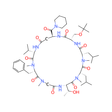 CC(C)C[C@H]1C(=O)N(C)[C@@H](CC(C)C)C(=O)N[C@@H](COC(C)(C)C)C(=O)N[C@H](C(=O)N2CCCCC2)CC(=O)N[C@@H](C(C)C)C(=O)N(C)[C@@H](Cc2ccccc2)C(=O)N(C)CC(=O)N[C@@H]([C@@H](C)O)C(=O)N1C